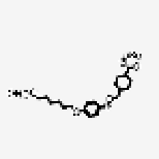 CCCCOC(=O)C1CCC(COOc2ccc(OCCCCCCOC=O)cc2)CC1